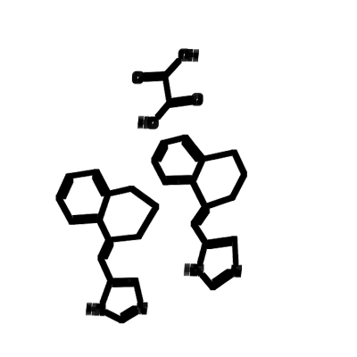 C(=C1CCCc2ccccc21)c1cnc[nH]1.C(=C1CCCc2ccccc21)c1cnc[nH]1.O=C(O)C(=O)O